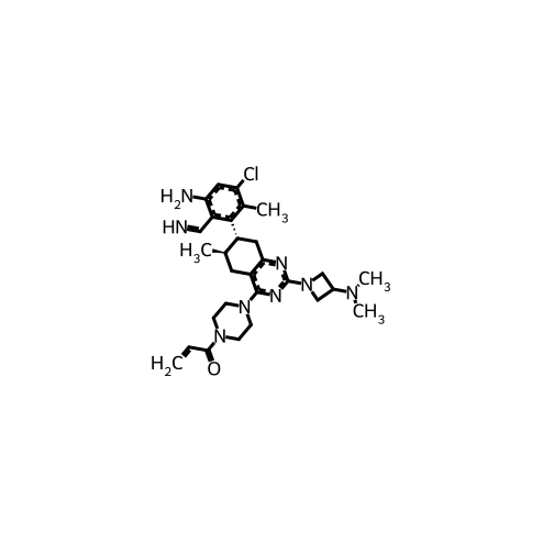 C=CC(=O)N1CCN(c2nc(N3CC(N(C)C)C3)nc3c2C[C@@H](C)[C@H](c2c(C)c(Cl)cc(N)c2C=N)C3)CC1